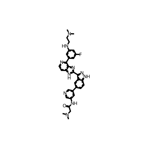 CN(C)CCNc1cc(F)cc(-c2nccc3[nH]c(-c4n[nH]c5ccc(-c6cncc(NC(=O)CN(C)C)c6)cc45)nc23)c1